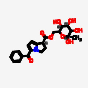 C[C@]1(O)OC(COC(=O)[C@H]2CCn3c(C(=O)c4ccccc4)ccc32)[C@H](O)[C@H](O)C1O